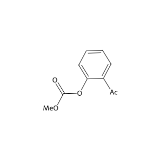 COC(=O)Oc1ccccc1C(C)=O